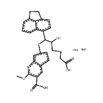 COc1nc2cc(SC(c3ccc4c5c(cccc35)CC4)C(O)CCCC(=O)O)ccc2cc1C(=O)O.[NaH].[NaH]